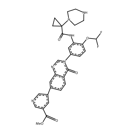 COC(=O)c1cncc(-c2ccc3c(=O)n(-c4ccc(OC(F)F)c(NC(=O)C5(N6CCNCC6)CC5)c4)cnc3c2)c1